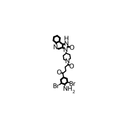 Nc1c(Br)cc(C(=O)CCC(=O)N2CCC(n3c(=O)[nH]c4c5ccccc5ncc43)CC2)cc1Br